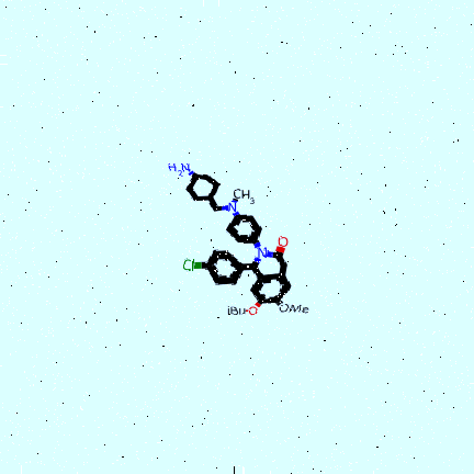 CC[C@@H](C)Oc1cc2c(cc1OC)CC(=O)N(c1ccc(N(C)CC3CCC(N)CC3)cc1)C2c1ccc(Cl)cc1